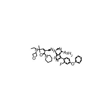 CCN(C1COC1)C(C)(C)/C=C(/C#N)C(=O)N1CCC[C@@H](n2nc(-c3ccc(Oc4ccccc4)cc3F)c3c([AsH2])ncnc32)C1